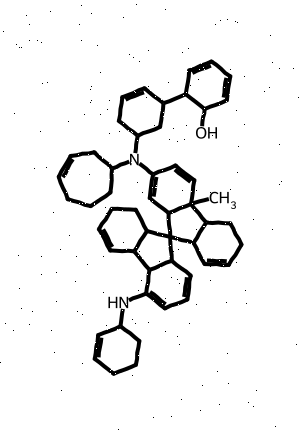 CC12C=CC(N(C3CC=CCCC3)C3CC=CC(C4C=CC=CC4O)C3)=CC1C1(C3C=CC=C(NC4C=CCCC4)C3C3C=CCCC31)C1C=CCCC12